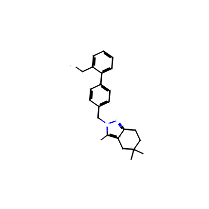 COCc1ccccc1-c1ccc(Cn2nc3c(c2C(=O)O)CC(C)(C)CC3)cc1